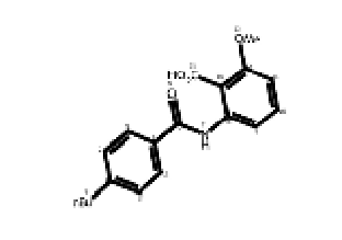 CCCCc1ccc(C(=O)Nc2cccc(OC)c2C(=O)O)cc1